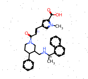 C[C@@H](NCC1CN(C(=O)/C=C/c2cc(C(=O)O)n(C)c2)CCC1c1ccccc1)c1cccc2ccccc12